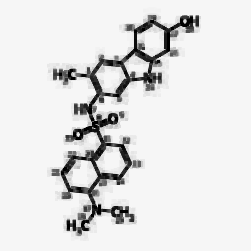 Cc1cc2c(cc1NS(=O)(=O)c1cccc3c(N(C)C)cccc13)[nH]c1cc(O)ccc12